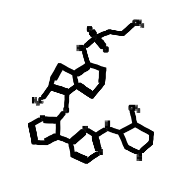 CCCS(=O)(=O)Nc1cccc2c(Oc3ncccc3-c3ccnc(NC4CNCCC4C)n3)c(C)ccc12